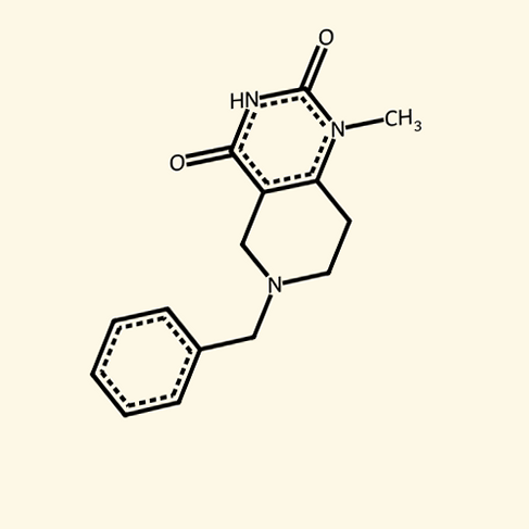 Cn1c2c(c(=O)[nH]c1=O)CN(Cc1ccccc1)CC2